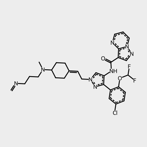 C=NCCCN(C)C1CCC(=CCn2cc(NC(=O)c3cnn4cccnc34)c(-c3cc(Cl)ccc3OC(F)F)n2)CC1